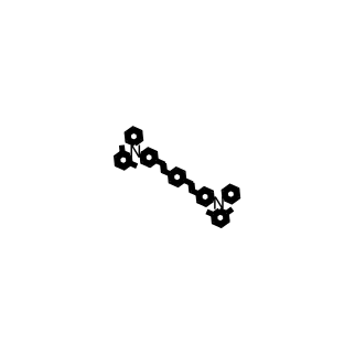 Cc1cccc(C)c1N(c1ccccc1)c1ccc(C=Cc2ccc(C=Cc3ccc(N(c4ccccc4)c4c(C)cccc4C)cc3)cc2)cc1